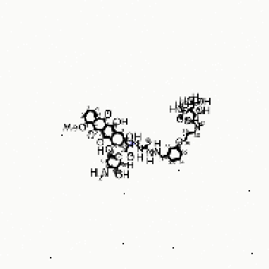 COc1cccc2c1C(=O)c1c(O)c3c(c(O)c1C2=O)C[C@@](O)(/C(CO)=N/NC(=S)NNCc1cccc(OCCCN(C)CCC(O)(P(=O)(O)O)[PH](O)(O)O)c1)C[C@@H]3O[C@H]1C[C@H](N)[C@H](O)[C@H](C)O1